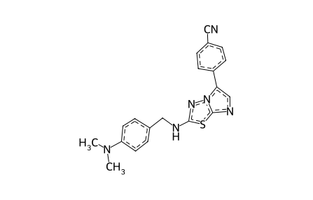 CN(C)c1ccc(CNc2nn3c(-c4ccc(C#N)cc4)cnc3s2)cc1